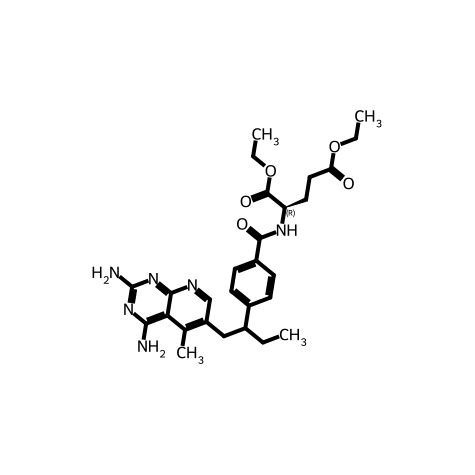 CCOC(=O)CC[C@@H](NC(=O)c1ccc(C(CC)Cc2cnc3nc(N)nc(N)c3c2C)cc1)C(=O)OCC